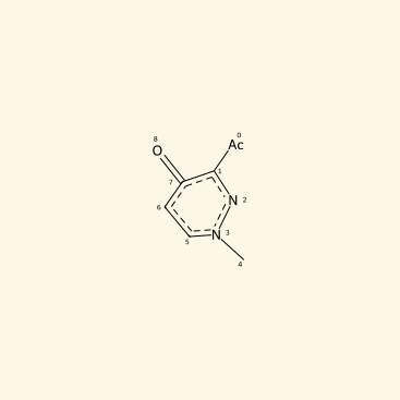 CC(=O)c1nn(C)ccc1=O